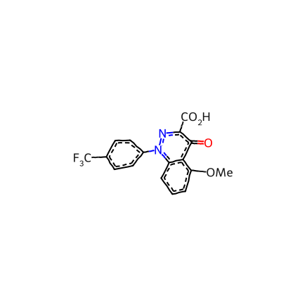 COc1cccc2c1c(=O)c(C(=O)O)nn2-c1ccc(C(F)(F)F)cc1